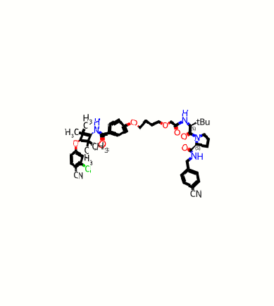 CC(C)(C)[C@H](NC(=O)COCCCCOc1ccc(C(=O)N[C@H]2C(C)(C)[C@H](Oc3ccc(C#N)c(Cl)c3)C2(C)C)cc1)C(=O)N1CCC[C@H]1C(=O)NCc1ccc(C#N)cc1